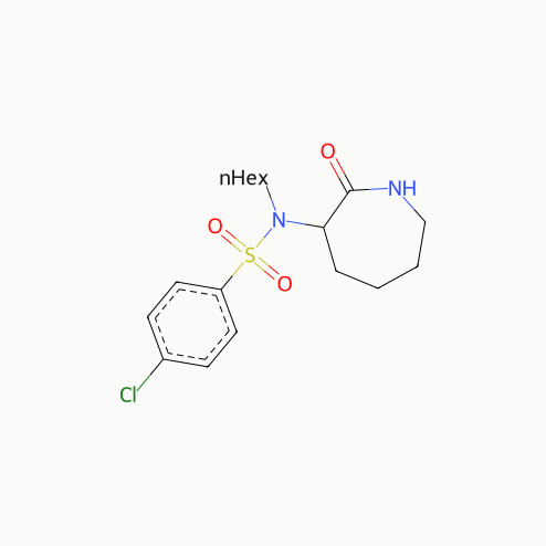 CCCCCCN(C1CCCCNC1=O)S(=O)(=O)c1ccc(Cl)cc1